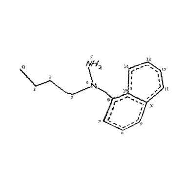 CCCCN(N)c1cccc2ccccc12